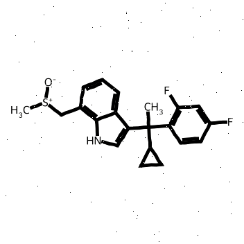 C[S+]([O-])Cc1cccc2c(C(C)(c3ccc(F)cc3F)C3CC3)c[nH]c12